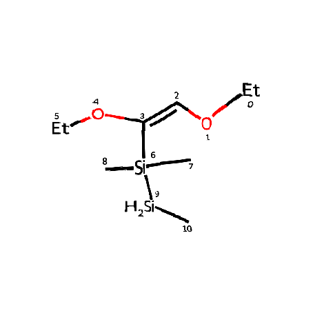 CCOC=C(OCC)[Si](C)(C)[SiH2]C